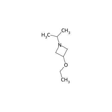 CCOC1CN(C(C)C)C1